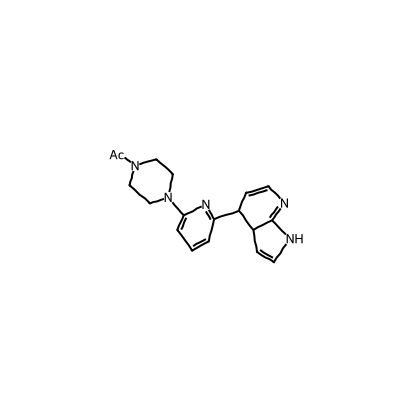 CC(=O)N1CCN(c2cccc(C3C=CN=C4NC=CC43)n2)CC1